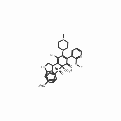 CCOc1ncccc1C1=C(N2CCN(C)CC2)C(C#N)=C(C2CNc3ccccc32)C(C(=O)O)(S(=O)(=O)c2ccc(OC)cc2)C1=O